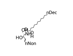 CCCCCCCCC/C=C/[C@@H](O)[C@H](CO)NC(=O)C(O)CCCCCCCCCCCCCCCCCCCC